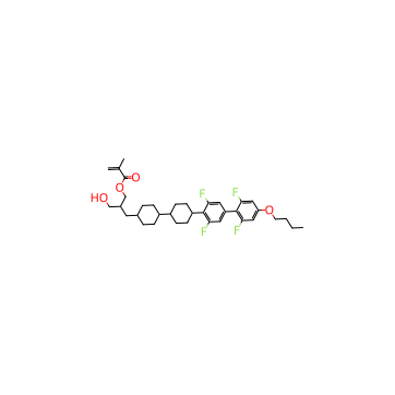 C=C(C)C(=O)OCC(CO)CC1CCC(C2CCC(c3c(F)cc(-c4c(F)cc(OCCCC)cc4F)cc3F)CC2)CC1